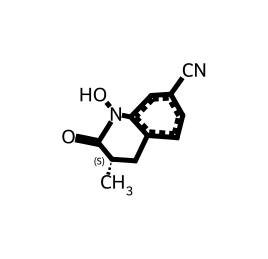 C[C@H]1Cc2ccc(C#N)cc2N(O)C1=O